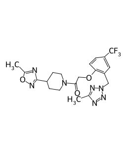 Cc1nnn(Cc2cc(C(F)(F)F)ccc2OCC(=O)N2CCC(c3noc(C)n3)CC2)n1